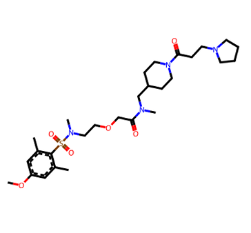 COc1cc(C)c(S(=O)(=O)N(C)CCOCC(=O)N(C)CC2CCN(C(=O)CCN3CCCC3)CC2)c(C)c1